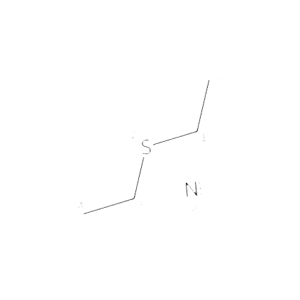 CCSCC.[N]